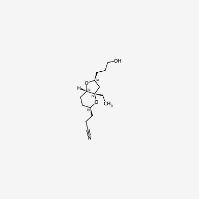 CC[C@]12C[C@H](CCCO)O[C@H]1CC[C@H](CCC#N)O2